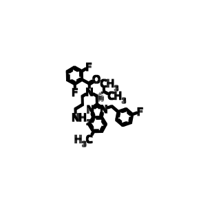 Cc1ccc2c(c1)nc([C@@H](C(C)C)N(CCCN)C(=O)c1c(F)cccc1F)n2Cc1cccc(F)c1